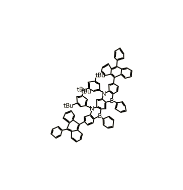 CC(C)(C)c1cc(N2c3cc(-c4c5ccccc5c(-c5ccccc5)c5ccccc45)ccc3B(c3ccccc3)c3cc4c(cc32)N(c2cc(C(C)(C)C)cc(C(C)(C)C)c2)c2cc(-c3c5ccccc5c(-c5ccccc5)c5ccccc35)ccc2B4c2ccccc2)cc(C(C)(C)C)c1